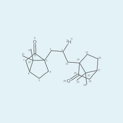 [2H]C(CC12CCC(CC1=O)C2(C)C)CC12CCC(CC1=O)C2(C)C